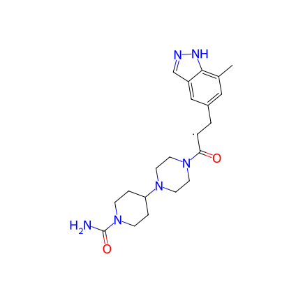 Cc1cc(C[CH]C(=O)N2CCN(C3CCN(C(N)=O)CC3)CC2)cc2cn[nH]c12